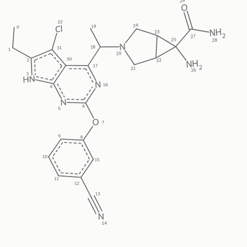 CCc1[nH]c2nc(Oc3cccc(C#N)c3)nc(C(C)N3CC4C(C3)C4(N)C(N)=O)c2c1Cl